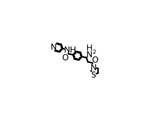 NC(CC(=O)N1CCSC1)c1ccc(C(=O)Nc2ccncc2)cc1